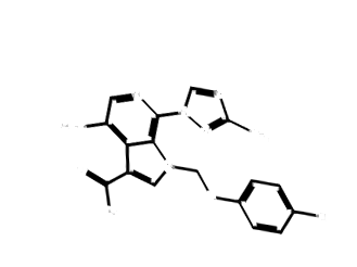 COc1cnc(-n2cnc(C)n2)c2c1c(C(=O)C(C)=O)cn2CSc1ccc(Cl)cc1